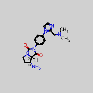 CN(C)Cc1nccn1-c1ccc(N2C(=O)[C@@H]3[C@H](N)CCN3C2=O)cc1